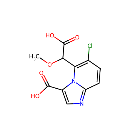 COC(C(=O)O)c1c(Cl)ccc2ncc(C(=O)O)n12